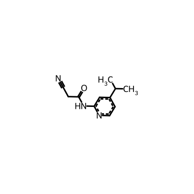 CC(C)c1ccnc(NC(=O)CC#N)c1